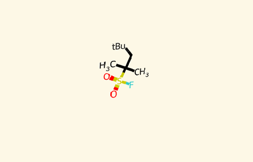 CC(C)(C)CC(C)(C)S(=O)(=O)F